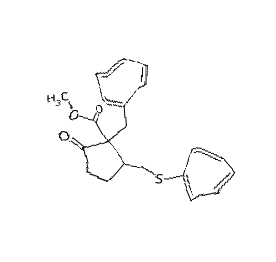 COC(=O)C1(Cc2ccccc2)C(=O)CCC1CSc1ccccc1